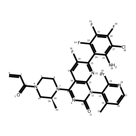 C=CC(=O)N1CCN(c2nc(=O)n(-c3c(C)ccnc3C(C)C)c3nc(-c4c(N)c(Cl)c(F)c(F)c4F)c(F)cc23)[C@@H](C)C1